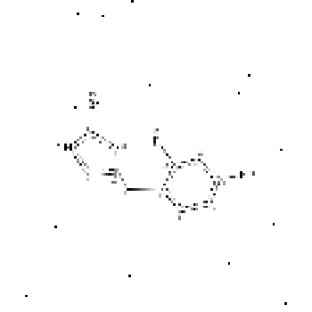 Fc1ccc(Cn2cnc(Br)c2)c(F)c1